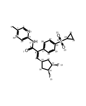 Cc1cnc(NC(=O)/C(=C/[C@H]2C[C@@H](F)[C@@H](F)C2)c2ccc(S(=O)(=O)C3CC3)cc2)cn1